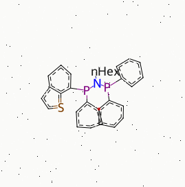 CCCCCCN(P(c1ccccc1)c1ccccc1)P(c1ccccc1)c1cccc2ccsc12